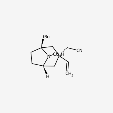 C=C[C@@]1(CC#N)C[C@@H]2CC[C@](C(C)(C)C)(C1)N2C(=O)O